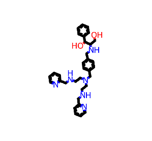 OCC(NCc1ccc(CN(CCNCc2ccccn2)CCNCc2ccccn2)cc1)C(O)c1ccccc1